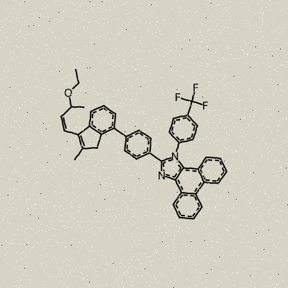 CCOC(C)/C=C\C1=C(C)Cc2c1cccc2-c1ccc(-c2nc3c4ccccc4c4ccccc4c3n2-c2ccc(C(F)(F)F)cc2)cc1